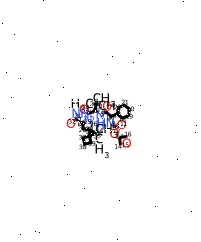 CC(C)(C)[C@H](NC(=O)[C@@H](NC(=O)OC1COC1)C1CCCCC1)C(=O)N1C[C@]2(C[C@H]1C(N)=O)C(C)(C)C21CCC1